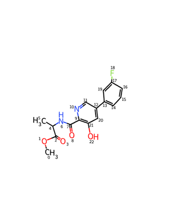 COC(=O)C(C)NC(=O)c1ncc(-c2cccc(F)c2)cc1O